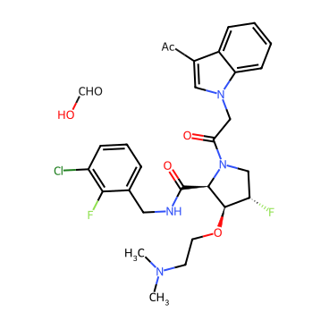 CC(=O)c1cn(CC(=O)N2C[C@H](F)[C@@H](OCCN(C)C)[C@H]2C(=O)NCc2cccc(Cl)c2F)c2ccccc12.O=CO